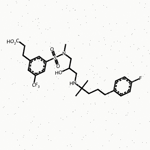 CN(CC(O)CNC(C)(C)CCCc1ccc(F)cc1)S(=O)(=O)c1cc(CCC(=O)O)cc(C(F)(F)F)c1